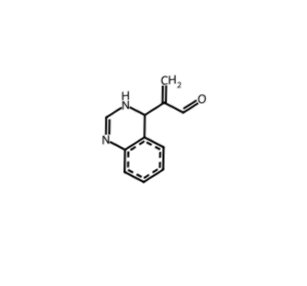 C=C(C=O)C1NC=Nc2ccccc21